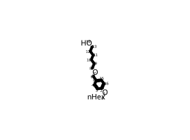 CCCCCCOc1ccc(COCCCCCCO)cc1